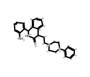 Nc1ccccc1C1NC(=O)C(CCN2CCN(c3ccccc3)CC2)c2ccccc21